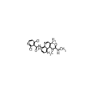 CNC(=O)N(C)c1c(C)cnc2c(NC(=O)c3c(Cl)ccnc3Cl)cccc12